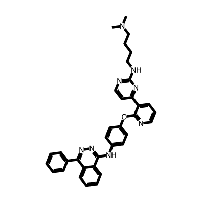 CN(C)CCCCNc1nccc(-c2cccnc2Oc2ccc(Nc3nnc(-c4ccccc4)c4ccccc34)cc2)n1